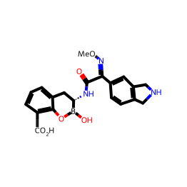 CO/N=C(\C(=O)N[C@H]1Cc2cccc(C(=O)O)c2OB1O)c1ccc2c(c1)CNC2